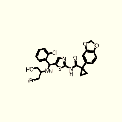 CC(C)CC(CO)NC(c1cnc(NC(=O)C2(c3ccc4c(c3)OCO4)CC2)s1)c1ccccc1Cl